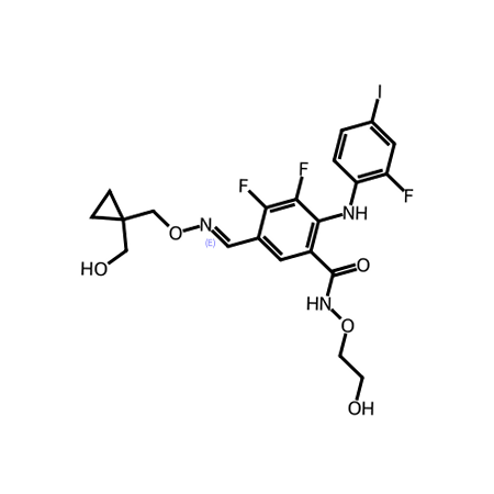 O=C(NOCCO)c1cc(/C=N/OCC2(CO)CC2)c(F)c(F)c1Nc1ccc(I)cc1F